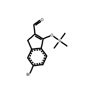 C[Si](C)(C)OC1=C(C=O)Cc2cc(Br)ccc21